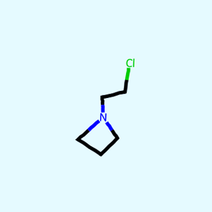 ClCCN1CCC1